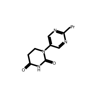 CC(C)c1ncc(N2CCC(=O)NC2=O)cn1